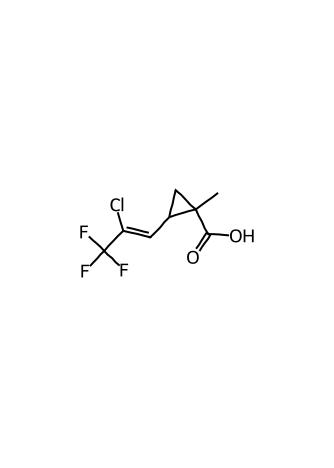 CC1(C(=O)O)CC1C=C(Cl)C(F)(F)F